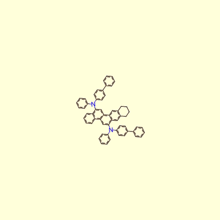 c1ccc(-c2ccc(N(c3ccccc3)c3cc4c5cc6c(cc5c(N(c5ccccc5)c5ccc(-c7ccccc7)cc5)cc4c4ccccc34)CCCC6)cc2)cc1